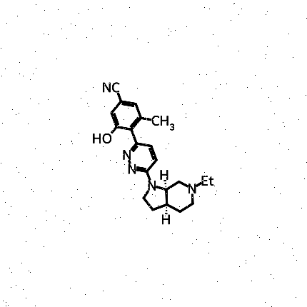 CCN1CC[C@H]2CCN(c3ccc(-c4c(C)cc(C#N)cc4O)nn3)[C@H]2C1